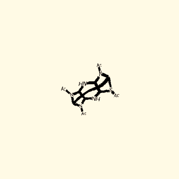 CC(=O)N1C2NC3C4NC2N(C(C)=O)C1C(N3C(C)=O)N4C(C)=O